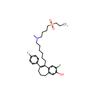 CN(CCCCCCC1=C(c2ccc(F)cc2)CCCc2cc(O)c(F)cc21)CCCCS(=O)(=O)CCC(F)(F)F